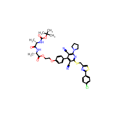 C[C@H](NC(=O)OC(C)(C)C)C(=O)N[C@@H](C)C(=O)OCCOc1ccc(-c2c(C#N)c(SCc3csc(-c4ccc(Cl)cc4)n3)nc(N3CCCC3)c2C#N)cc1